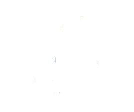 Cc1cc(C(=O)O)ncc1OC(F)F